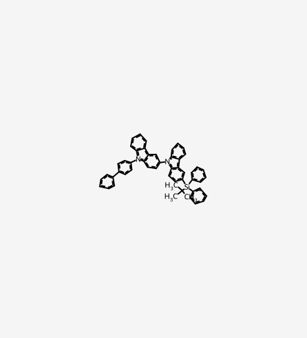 CC(C)(C)[Si](c1ccccc1)(c1ccccc1)c1ccc2c(c1)c1ccccc1n2-c1ccc2c(c1)c1ccccc1n2-c1ccc(-c2ccccc2)cc1